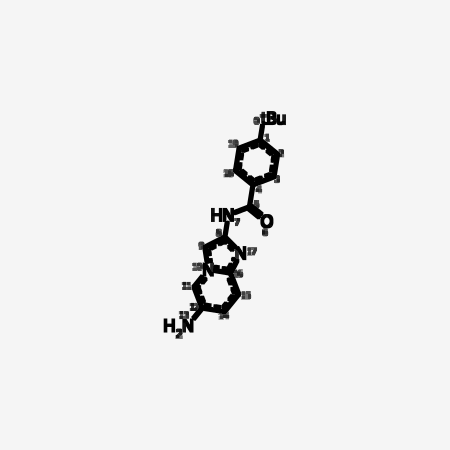 CC(C)(C)c1ccc(C(=O)Nc2cn3cc(N)ccc3n2)cc1